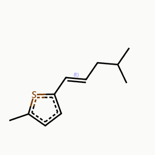 Cc1ccc(/C=C/CC(C)C)s1